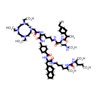 CC(C)Cc1ccc(C(C)C(=O)N[C@H](CCNC(=O)O)C(=O)NCCCCC(NC(=O)CN2CCN(CC(=O)O)CCN(CC(=O)O)CCN(CC(=O)O)CC2)C(=O)NCC2CCC(C(=O)NC(Cc3ccc4ccccc4c3)C(=O)NCCCCC(NC(=O)NC(CCC(=O)O)C(=O)O)C(=O)O)CC2)cc1